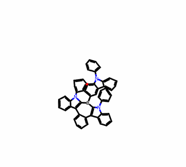 c1ccc(-n2c3c(c4ccccc42)-c2ccccc2-c2c(n(-c4ccccc4)c4ccccc24)B3c2ccc3c(c2)c2ccccc2n3-c2ccccc2)cc1